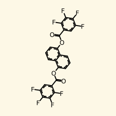 O=C(Oc1cccc2c(OC(=O)c3cc(F)c(F)c(F)c3F)cccc12)c1cc(F)c(F)c(F)c1F